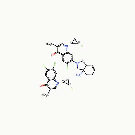 NC12C=CC=CC1CN(c1cc3c(cc1F)c(=O)c(C(=O)O)cn3[C@@H]1C[C@@H]1F)C2.O=C(O)c1cn([C@@H]2C[C@@H]2F)c2cc(F)c(F)cc2c1=O